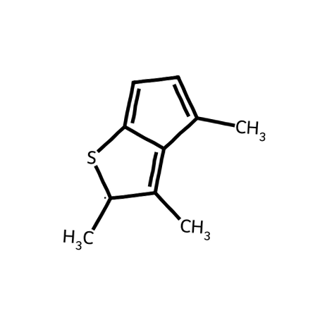 C[C]1SC2=CC=C(C)C2=C1C